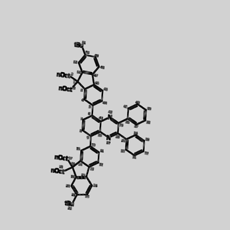 CCCCCCCCC1(CCCCCCCC)c2cc(-c3ccc(-c4ccc5c(c4)C(CCCCCCCC)(CCCCCCCC)c4cc(C(C)(C)C)ccc4-5)c4nc(-c5ccccc5)c(-c5ccccc5)nc34)ccc2-c2ccc(C(C)(C)C)cc21